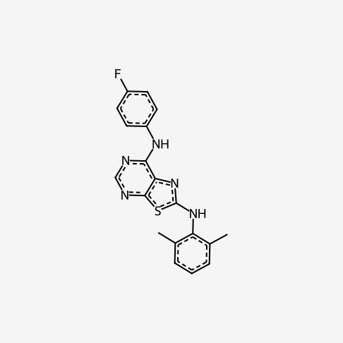 Cc1cccc(C)c1Nc1nc2c(Nc3ccc(F)cc3)ncnc2s1